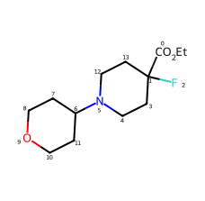 CCOC(=O)C1(F)CCN(C2CCOCC2)CC1